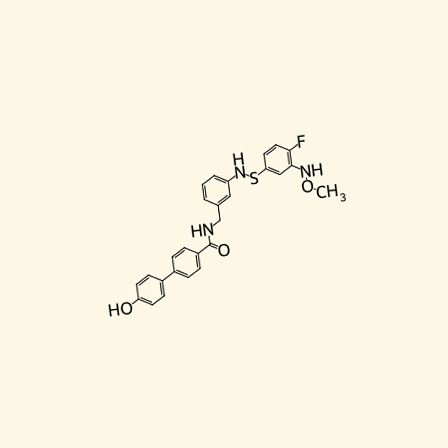 CONc1cc(SNc2cccc(CNC(=O)c3ccc(-c4ccc(O)cc4)cc3)c2)ccc1F